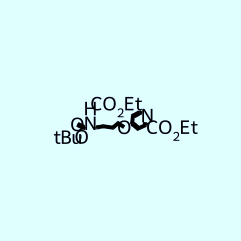 CCOC(=O)c1cc(OCCCCNC(=O)OC(C)(C)C)cc(C(=O)OCC)n1